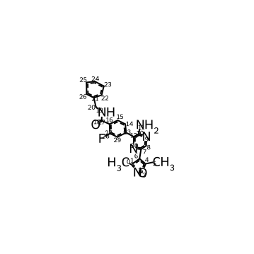 Cc1noc(C)c1-c1cnc(N)c(-c2ccc(C(=O)NCc3ccccc3)c(F)c2)n1